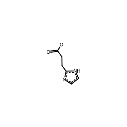 [O]C(=O)CCc1ncc[nH]1